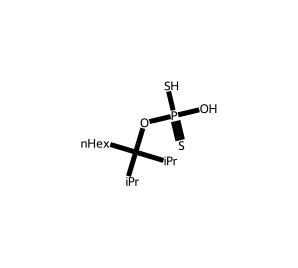 CCCCCCC(OP(O)(=S)S)(C(C)C)C(C)C